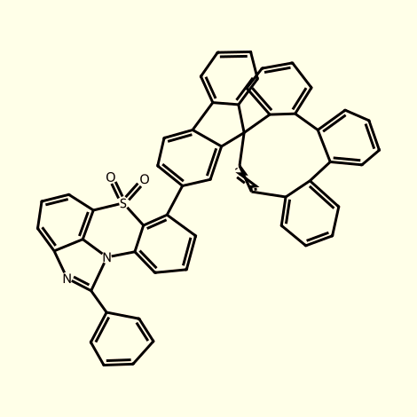 O=S1(=O)c2c(-c3ccc4c(c3)C3(c5ccccc5-c5ccccc5-c5ccccc5-c5ccccc53)c3ccccc3-4)cccc2-n2c(-c3ccccc3)nc3cccc1c32